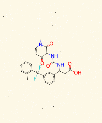 Cc1ccccc1C(F)(F)c1cccc(C(CC(=O)O)NC(=O)NC2C(=O)C=CN(C)C2=O)c1